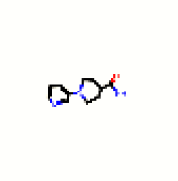 NC(=O)C1CCN(c2cccnc2)CC1